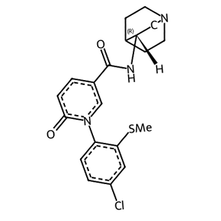 CSc1cc(Cl)ccc1-n1cc(C(=O)N[C@H]2CN3CCC2CC3)ccc1=O